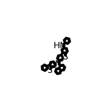 C1=CC2c3cc(Nc4ccccc4)ccc3SC2C=C1N(c1ccc2c(c1)sc1ccccc12)c1cccc2ccccc12